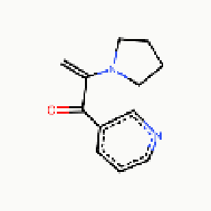 C=C(C(=O)c1cccnc1)N1CCCC1